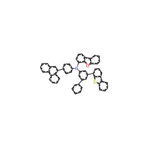 c1ccc(-c2cc(-c3cccc4c3sc3ccccc34)cc(N(c3ccc(-c4cc5ccccc5c5ccccc45)cc3)c3cccc4c3oc3ccccc34)c2)cc1